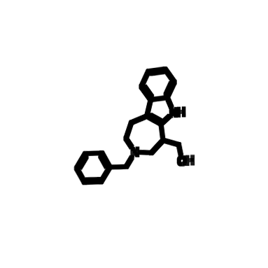 OCC1CN(Cc2ccccc2)CCc2c1[nH]c1ccccc21